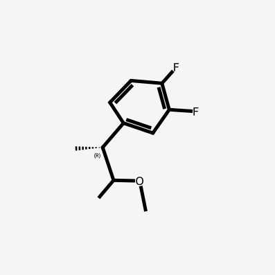 COC(C)[C@H](C)c1ccc(F)c(F)c1